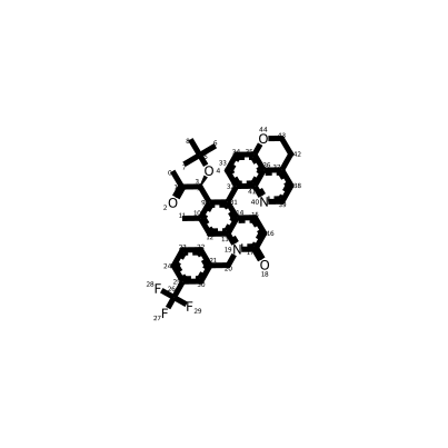 CC(=O)[C@@H](OC(C)(C)C)c1c(C)cc2c(ccc(=O)n2Cc2cccc(C(F)(F)F)c2)c1-c1ccc2c3c(ccnc13)CCO2